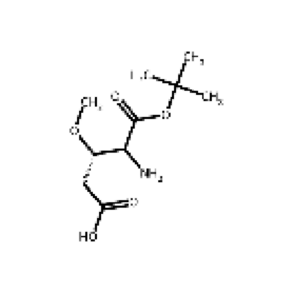 CO[C@@H](CC(=O)O)C(N)C(=O)OC(C)(C)C